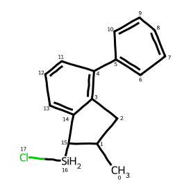 CC1Cc2c(-c3ccccc3)cccc2C1[SiH2]Cl